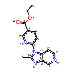 CCOC(=O)c1ccc(-n2c(C)nc3cnccc32)nc1